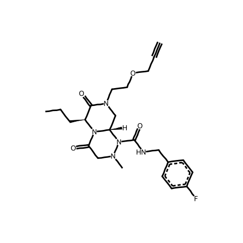 C#CCOCCN1C[C@H]2N(C(=O)CN(C)N2C(=O)NCc2ccc(F)cc2)[C@@H](CCC)C1=O